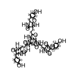 O=C(CCC1NC(=O)C(Cc2ccc(O)cc2)NC1=O)Nc1nc(NC(=O)CCC2NC(=O)C(Cc3ccc(O)cc3)NC2=O)nc(NC(=O)CCC2NC(=O)C(Cc3ccc(O)cc3)NC2=O)n1